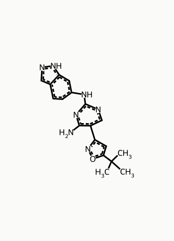 CC(C)(C)c1cc(-c2cnc(Nc3ccc4cn[nH]c4c3)nc2N)no1